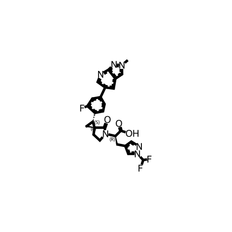 Cn1cc2cc(-c3ccc([C@H]4C[C@@]45CCN([C@H](Cc4cnn(C(F)F)c4)C(=O)O)C5=O)c(F)c3)cnc2n1